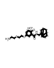 Cl.NCCSCCOc1ccc(Cl)c(C(=O)NCC23CC4CC(CC(C4)C2)C3)c1